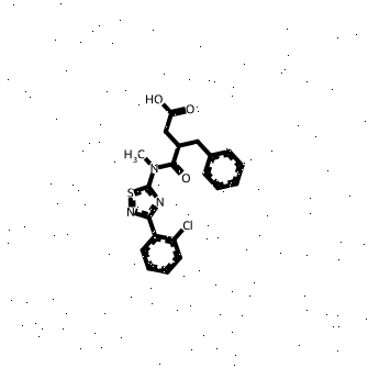 CN(C(=O)C(CC(=O)O)Cc1ccccc1)c1nc(-c2ccccc2Cl)ns1